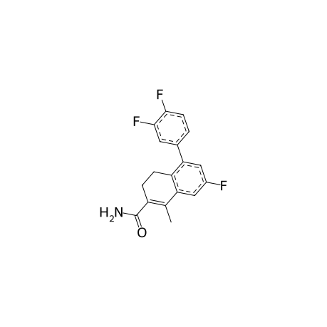 CC1=C(C(N)=O)CCc2c1cc(F)cc2-c1ccc(F)c(F)c1